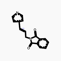 O=C1c2ccccc2C(=O)N1C/C=C/c1ccncc1